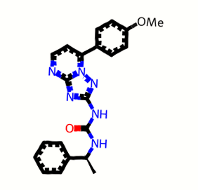 COc1ccc(-c2ccnc3nc(NC(=O)N[C@@H](C)c4ccccc4)nn23)cc1